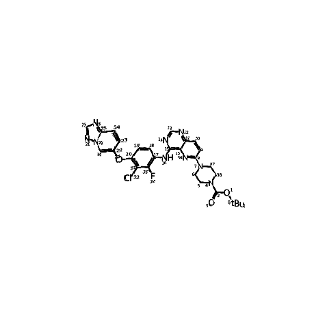 CC(C)(C)OC(=O)N1CCN(c2ccc3ncnc(Nc4ccc(Oc5ccc6ncnn6c5)c(Cl)c4F)c3n2)CC1